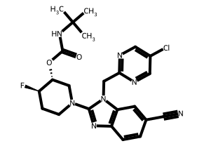 CC(C)(C)NC(=O)O[C@@H]1CN(c2nc3ccc(C#N)cc3n2Cc2ncc(Cl)cn2)CC[C@H]1F